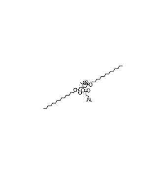 CCCCCCCCCCCCCCOC(=O)CC(CC(=O)OCCCCCCCCCCCCCC)(OC(=O)CCN(C)C)C(C)=O